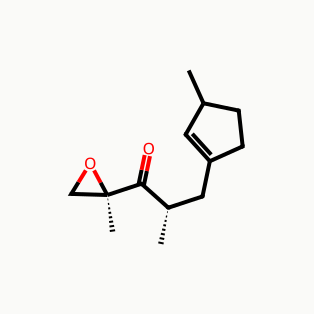 CC1C=C(C[C@H](C)C(=O)[C@@]2(C)CO2)CC1